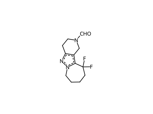 O=CN1CCc2nn3c(c2C1)C(F)(F)CCCC3